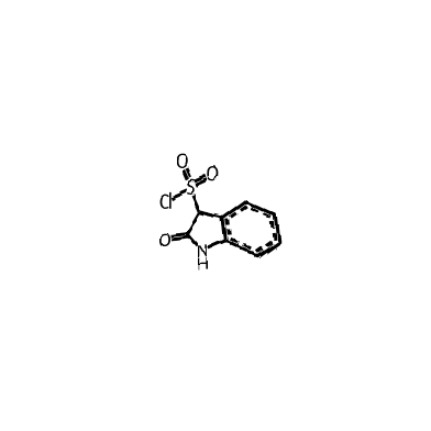 O=C1Nc2ccccc2C1S(=O)(=O)Cl